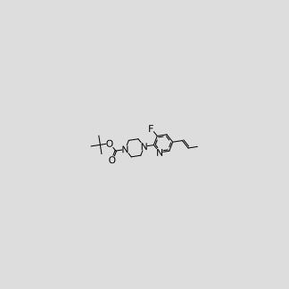 C/C=C/c1cnc(N2CCN(C(=O)OC(C)(C)C)CC2)c(F)c1